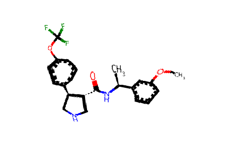 COc1cccc([C@H](C)NC(=O)[C@@H]2CNC[C@H]2c2ccc(OC(F)(F)F)cc2)c1